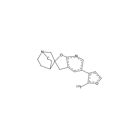 [125I]c1occc1-c1cnc2c(c1)CC1(CN3CCC1CC3)O2